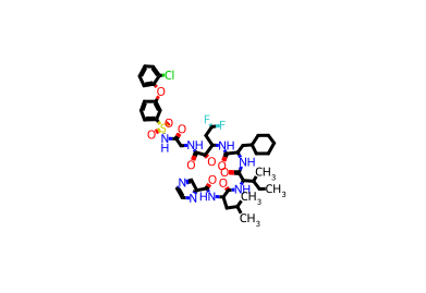 CCC(C)C(NC(=O)C(CC(C)C)NC(=O)c1cnccn1)C(=O)NC(CC1CCCCC1)C(=O)NC(CC(F)F)C(=O)C(=O)NCC(=O)NS(=O)(=O)c1cccc(Oc2ccccc2Cl)c1